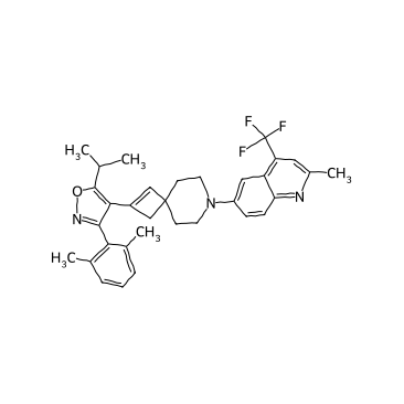 Cc1cc(C(F)(F)F)c2cc(N3CCC4(C=C(c5c(-c6c(C)cccc6C)noc5C(C)C)C4)CC3)ccc2n1